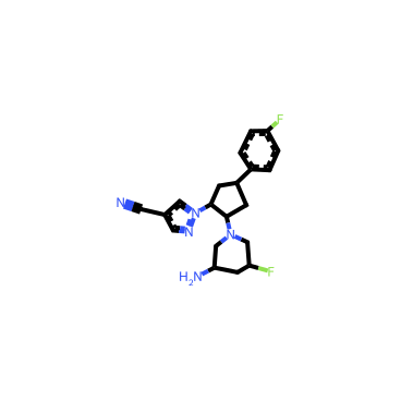 N#Cc1cnn(C2CC(c3ccc(F)cc3)CC2N2CC(N)CC(F)C2)c1